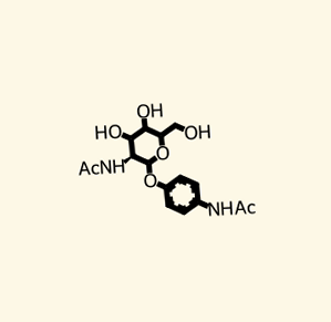 CC(=O)Nc1ccc(OC2OC(CO)C(O)C(O)[C@@H]2NC(C)=O)cc1